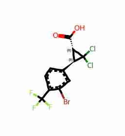 O=C(O)[C@H]1[C@H](c2ccc(C(F)(F)F)c(Br)c2)C1(Cl)Cl